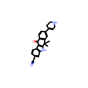 CC1(C)c2cc(C3=CCNCC3)ccc2C(=O)c2c1[nH]c1cc(C#N)ccc21